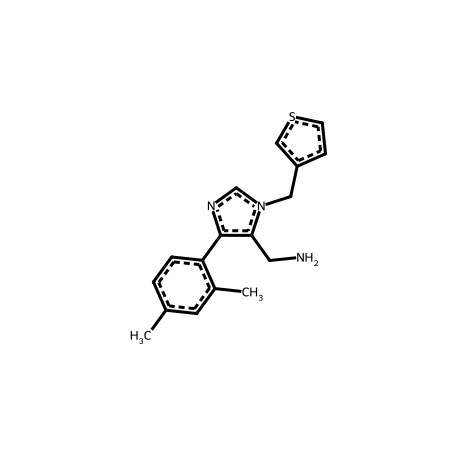 Cc1ccc(-c2ncn(Cc3ccsc3)c2CN)c(C)c1